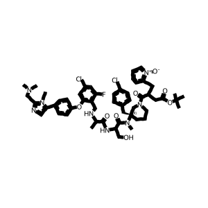 CC(NCc1c(F)cc(Cl)cc1Oc1ccc(-c2cnc(CN(C)C)n2C)cc1)C(=O)NC(CO)C(=O)N(C)[C@@]1(Cc2ccc(Cl)cc2)CCCN(C(=O)C(CC(=O)OC(C)(C)C)Cc2cccc[n+]2[O-])C1